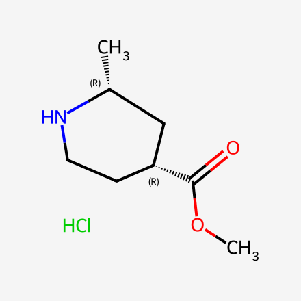 COC(=O)[C@@H]1CCN[C@H](C)C1.Cl